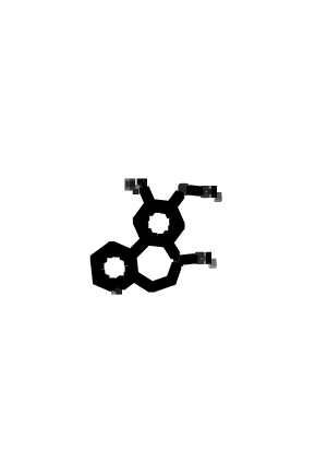 COc1cc2c(cc1N)-c1cccnc1CCN2C